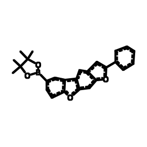 CC1(C)OB(c2ccc3oc4cc5oc(-c6ccccc6)cc5cc4c3c2)OC1(C)C